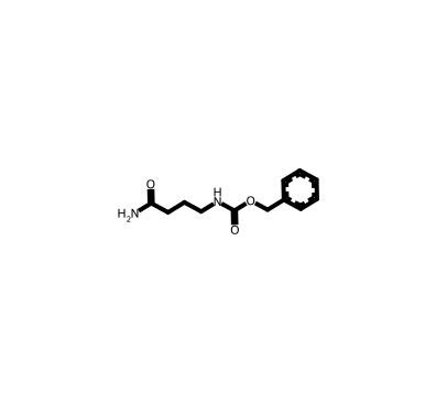 NC(=O)CCCNC(=O)OCc1ccccc1